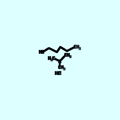 CCCCCS.CN(C)C.Cl